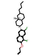 C=CCOc1ccc2cc([C@@H]3CC[C@@H]4CC(CCCC)CCC4C3)c(F)cc2c1F